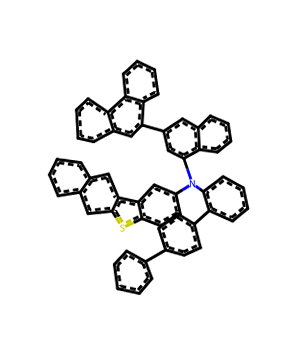 c1ccc(-c2ccc(-c3ccccc3N(c3ccc4sc5cc6ccccc6cc5c4c3)c3cc(-c4cc5ccccc5c5ccccc45)cc4ccccc34)cc2)cc1